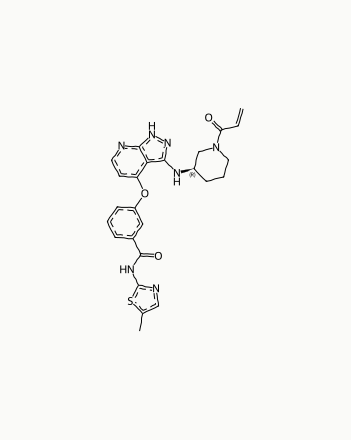 C=CC(=O)N1CCC[C@@H](Nc2n[nH]c3nccc(Oc4cccc(C(=O)Nc5ncc(C)s5)c4)c23)C1